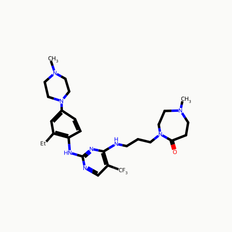 CCc1cc(N2CCN(C)CC2)ccc1Nc1ncc(C(F)(F)F)c(NCCCN2CCN(C)CCC2=O)n1